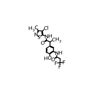 Cc1nsc(NC(=O)C(C)c2ccc(O)c(NC(=O)CC(F)(F)F)c2)c1Cl